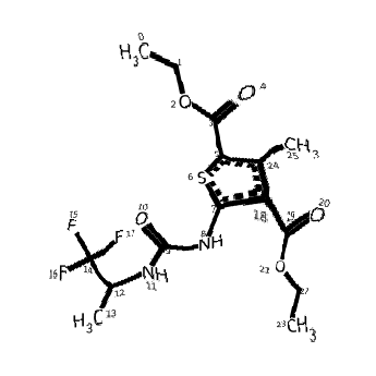 CCOC(=O)c1sc(NC(=O)NC(C)C(F)(F)F)c(C(=O)OCC)c1C